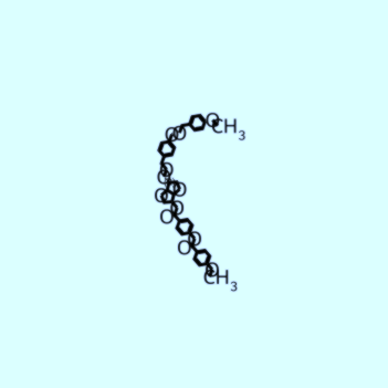 COc1ccc(COOc2ccc(COO[C@@H]3COC4C(OC(=O)c5ccc(OC(=O)c6ccc(OC)cc6)cc5)COC43)cc2)cc1